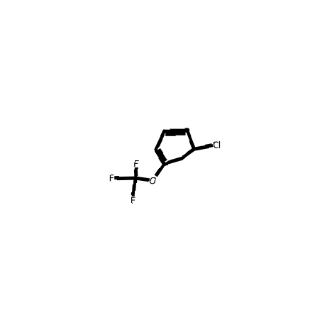 FC(F)(F)OC1=CC=CC(Cl)C1